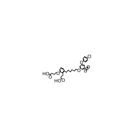 CS(=O)(=O)c1cc(OCCCCCCc2cccc(OCCCC(=O)O)c2CCC(=O)O)cc(Oc2ccc(Cl)cc2)c1